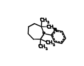 CC1(C)CCCCC(C)(C)P1c1ccccn1